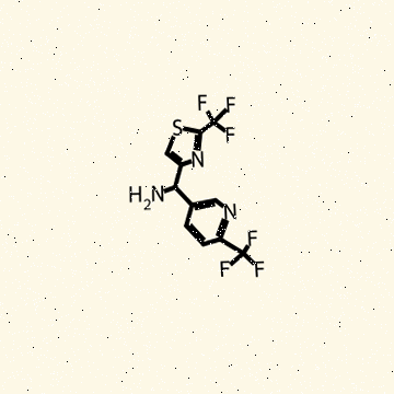 NC(c1ccc(C(F)(F)F)nc1)c1csc(C(F)(F)F)n1